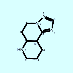 c1nc2n(n1)CCC1NCCCC21